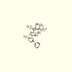 C/C(=C\[C@H](C(C)C)N(C)C(=O)C(NC(=O)[C@@H]1C[C@H](c2ccccc2)CCN1C)C(C)(C)C)C(=O)O